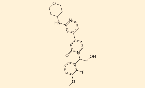 COc1cccc(C(CO)n2ccc(-c3ccnc(NC4CCOCC4)n3)cc2=O)c1F